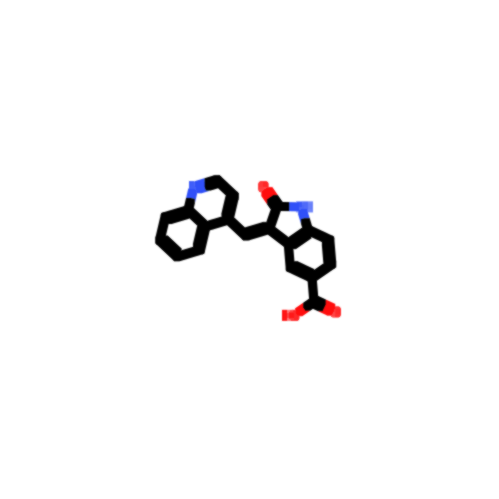 O=C1Nc2ccc(C(=O)O)cc2C1=Cc1ccnc2ccccc12